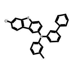 Cc1cccc(N(c2cccc(-c3ccccc3)c2)c2ccc3sc4cc(Cl)ccc4c3c2)c1